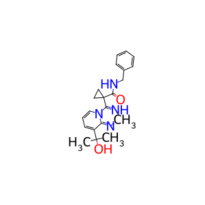 C/N=c1/c(C(C)(C)O)cccn1C(=N)C1(C(=O)NCc2ccccc2)CC1